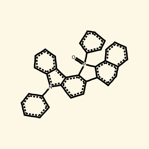 O=P1(c2ccccc2)c2c(ccc3ccccc23)-c2ccc3c(c21)c1ccccc1n3-c1ccccc1